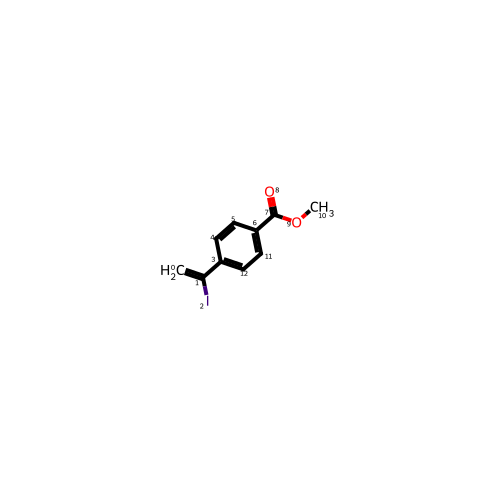 C=C(I)c1ccc(C(=O)OC)cc1